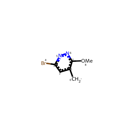 [CH2]c1cc(Br)nnc1OC